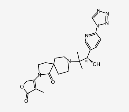 CC1=C(N2CCC3(CCN(C(C)(C)[C@H](O)c4ccc(-n5cnnn5)nc4)CC3)C2=O)COC1=O